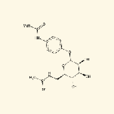 CNC(=O)Nc1ccc(OC2O[C@H](CN[S+](C)[O-])[C@@H](O)[C@H](O)[C@@H]2O)cc1